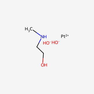 CNCCO.[OH-].[OH-].[Pt+2]